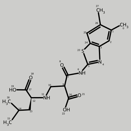 Cc1cc2nc(NC(=O)C(CN[C@@H](CC(C)C)C(=O)O)C(=O)O)sc2cc1C